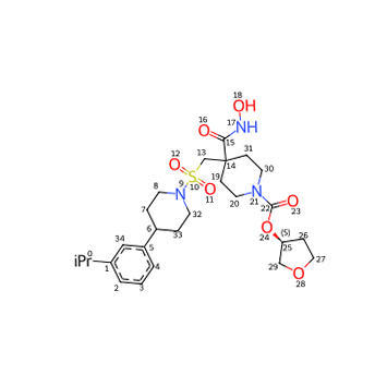 CC(C)c1cccc(C2CCN(S(=O)(=O)CC3(C(=O)NO)CCN(C(=O)O[C@H]4CCOC4)CC3)CC2)c1